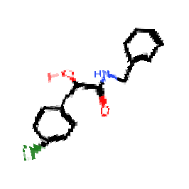 O=C(NCc1ccccc1)C(O)c1ccc(Cl)cc1